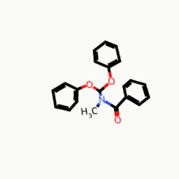 CN(C(=O)c1ccccc1)C(Oc1ccccc1)Oc1ccccc1